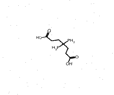 O=C(O)CCC(P)(P)CCC(=O)O